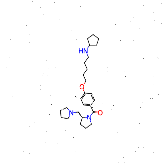 O=C(c1ccc(OCCCCCNC2CCCC2)cc1)N1CCC[C@H]1CN1CCCC1